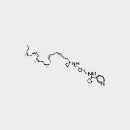 CC/C=C\C/C=C\C/C=C\C/C=C\C/C=C\C/C=C\CCC(=O)NCCOCCNC(=O)c1cccnc1